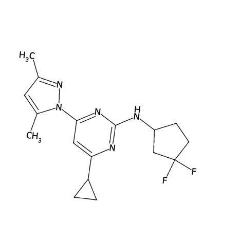 Cc1cc(C)n(-c2cc(C3CC3)nc(NC3CCC(F)(F)C3)n2)n1